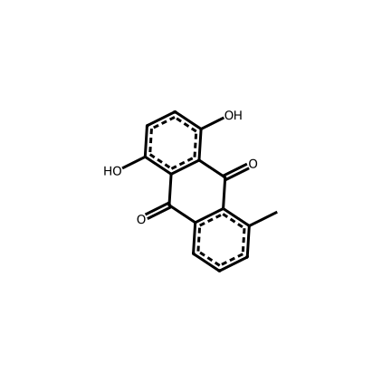 Cc1cccc2c1C(=O)c1c(O)ccc(O)c1C2=O